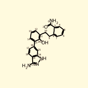 NC(=O)c1ccccc1C[CH]c1cccc(-c2ccc3c(N)n[nH]c3c2)c1O